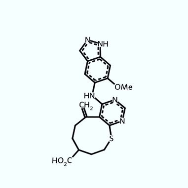 C=C1CCC(C(=O)O)CCSc2ncnc(Nc3cc4cn[nH]c4cc3OC)c21